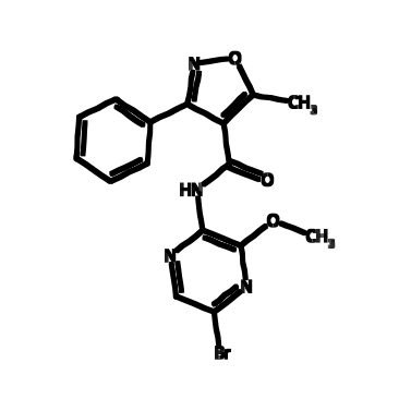 COc1nc(Br)cnc1NC(=O)c1c(-c2ccccc2)noc1C